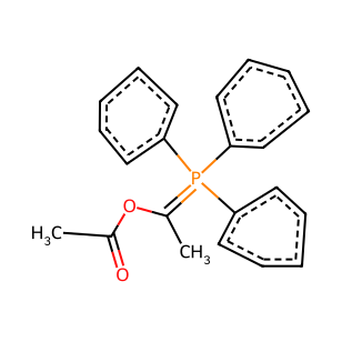 CC(=O)OC(C)=P(c1ccccc1)(c1ccccc1)c1ccccc1